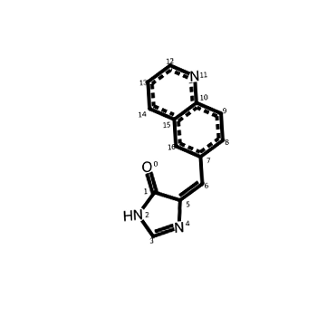 O=C1NC=NC1=Cc1ccc2ncccc2c1